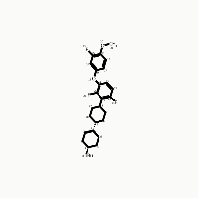 CCCC[C@H]1CC[C@H](C2CCC(c3c(F)c[c]c(Oc4ccc(OC(F)(F)F)c(F)c4)c3F)CC2)CC1